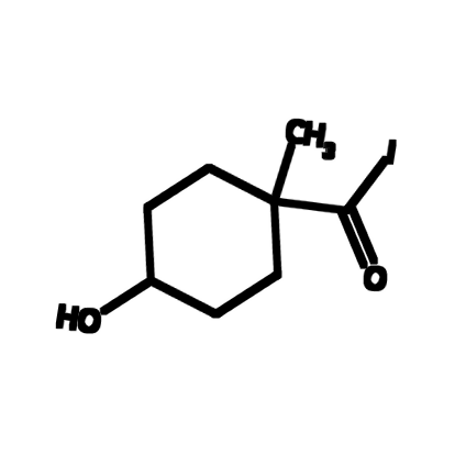 CC1(C(=O)I)CCC(O)CC1